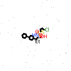 CC[C@@H](c1ccc(-c2ccccc2)cc1)[C@@H](CO)NS(=O)(=O)c1ccc(Cl)s1